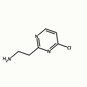 NCCc1nccc(Cl)n1